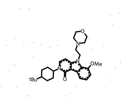 COc1cccc2c3c(=O)n(C4CCC(C(C)(C)C)CC4)ccc3n(CCN3CCOCC3)c12